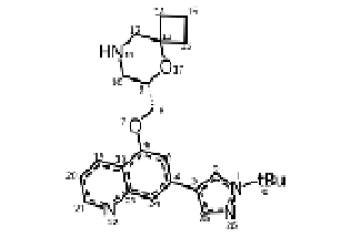 CC(C)(C)n1cc(-c2cc(OC[C@@H]3CNCC4(CCC4)O3)c3cccnc3c2)cn1